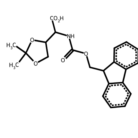 CC1(C)OCC(C(NC(=O)OCC2c3ccccc3-c3ccccc32)C(=O)O)O1